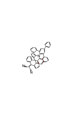 N#CC(C#N)=C1c2ccccc2C2(c3ccccc31)c1ccccc1N(c1c(-c3ccccc3)cc(-c3ccccc3)cc1-c1ccccc1)c1ccccc12